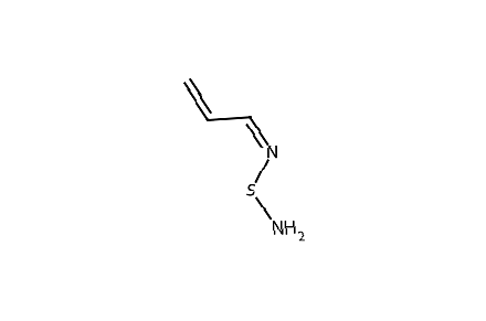 C=C/C=N\SN